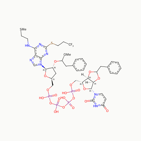 COC(Cc1ccccc1)O[C@@H]1C[C@@H](COP(=O)(O)OP(=O)(O)OP(=O)(O)OP(=O)(O)OC[C@H]2O[C@@H](n3ccc(=O)[nH]c3=O)[C@@H]3OC(Cc4ccccc4)O[C@@H]32)O[C@H]1n1cnc2c(NCCSC)nc(SCCC(F)(F)F)nc21